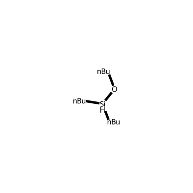 CCCCO[SiH](CCCC)CCCC